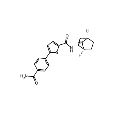 NC(=O)c1ccc(-c2ccc(C(=O)N[C@@H]3C[C@H]4CC[C@@H]3N4)s2)cc1